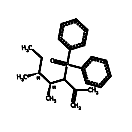 C=C(C)C([C@@H](C)[C@H](C)CC)P(=O)(c1ccccc1)c1ccccc1